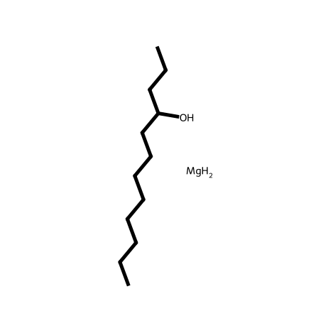 CCCCCCCCC(O)CCC.[MgH2]